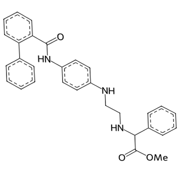 COC(=O)C(NCCNc1ccc(NC(=O)c2ccccc2-c2ccccc2)cc1)c1ccccc1